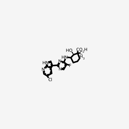 CC1(C(=O)O)CCCC(Nc2nc(-c3c[nH]c4ncc(Cl)cc34)ncc2F)[C@H]1O